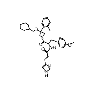 COc1ccc(C[C@@H](NC(=O)CCc2c[nH]cn2)C(=O)N2CC(OCC3CCCCC3)(c3ccccc3C)C2)cc1